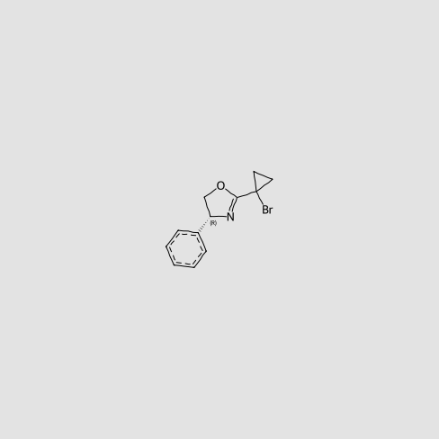 BrC1(C2=N[C@H](c3ccccc3)CO2)CC1